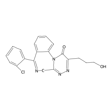 O=c1c(CCCO)nnc2n1-c1ccccc1C(c1ccccc1Cl)=NC2